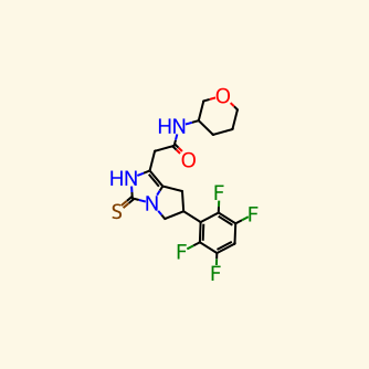 O=C(Cc1[nH]c(=S)n2c1CC(c1c(F)c(F)cc(F)c1F)C2)NC1CCCOC1